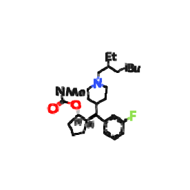 CCC(C)CC(CC)CN1CCC(C(c2cccc(F)c2)[C@H]2CCC[C@@H]2OC(=O)NC)CC1